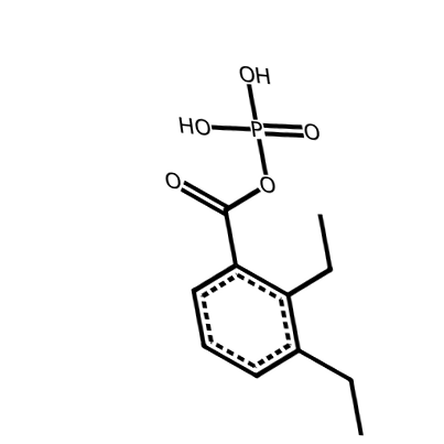 CCc1cccc(C(=O)OP(=O)(O)O)c1CC